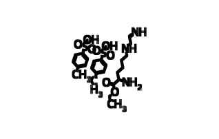 CCOC(=O)C(N)CCCCNCC=N.Cc1ccc(S(=O)(=O)O)cc1.Cc1ccc(S(=O)(=O)O)cc1